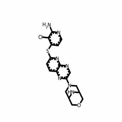 Nc1nccc(Sc2ccc3nc(N4CC5COCC(C4)N5)cnc3n2)c1Cl